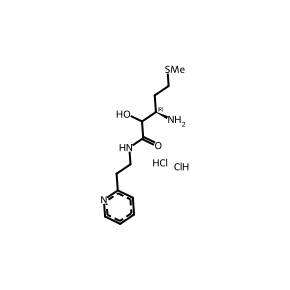 CSCC[C@@H](N)C(O)C(=O)NCCc1ccccn1.Cl.Cl